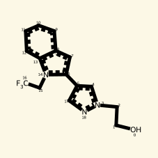 OCCn1cc(-c2cc3ccccc3n2CC(F)(F)F)cn1